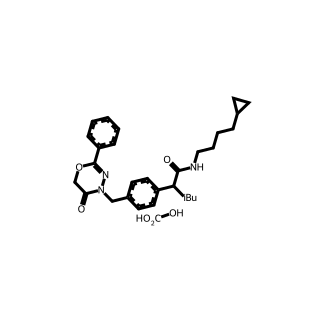 CCC(C)C(C(=O)NCCCCC1CC1)c1ccc(CN2N=C(c3ccccc3)OCC2=O)cc1.O=C(O)O